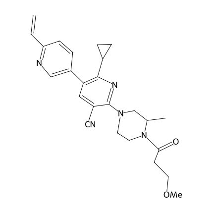 C=Cc1ccc(-c2cc(C#N)c(N3CCN(C(=O)CCOC)C(C)C3)nc2C2CC2)cn1